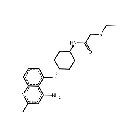 CCSCC(=O)N[C@H]1CC[C@H](Oc2cccc3nc(C)cc(N)c23)CC1